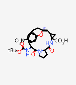 CC(C)(C)OC(=O)NC1CCCCC/C(Oc2ccc([N+](=O)[O-])cc2)=C/C2CC2(C(=O)O)NC(=O)C2CCCN2C1=O